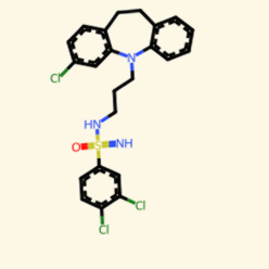 N=S(=O)(NCCCN1c2ccccc2CCc2ccc(Cl)cc21)c1ccc(Cl)c(Cl)c1